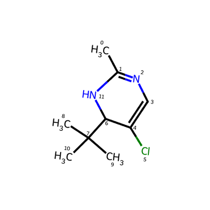 CC1=NC=C(Cl)C(C(C)(C)C)N1